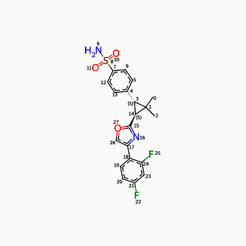 CC1(C)[C@@H](c2ccc(S(N)(=O)=O)cc2)[C@@H]1c1nc(-c2ccc(F)cc2F)co1